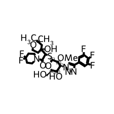 CO[C@@H]1[C@@H](n2cc(-c3cc(F)c(F)c(F)c3)nn2)[C@@H](O)[C@@H](CO)O[C@H]1SC(C(=O)N1CCC(F)(F)CC1)[C@]1(O)CCOC(C)(C)C1